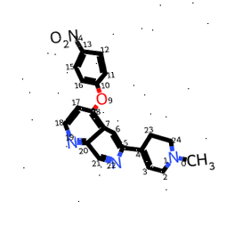 CN1CC=C(c2cc3c(Oc4ccc([N+](=O)[O-])cc4)ccnc3cn2)CC1